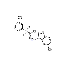 CN(/N=C\c1cnn2ccc(C#N)cc12)S(=O)(=O)c1cccc(C#N)c1